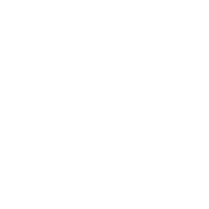 C=CCCc1ccc(C2CCC(C3CCC(CCC=C)C(F)(F)C3)CC2)cc1